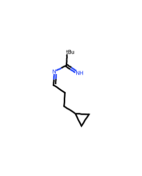 CC(C)(C)C(=N)/N=C\CCC1CC1